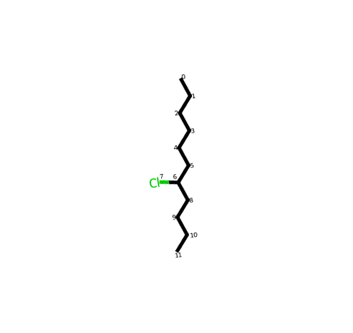 CCCCCCC(Cl)CCCC